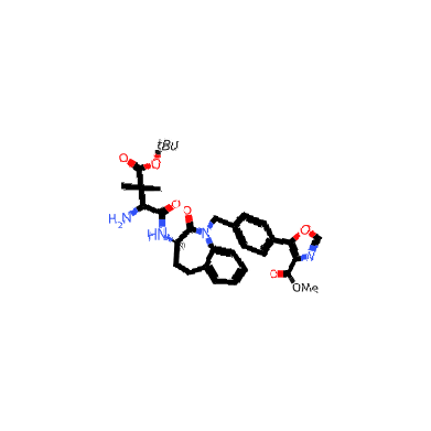 COC(=O)c1ncoc1-c1ccc(CN2C(=O)[C@H](NC(=O)C(N)C(C)(C)C(=O)OC(C)(C)C)CCc3ccccc32)cc1